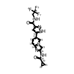 O=C(NCC(F)(F)F)c1cc(-c2ccc3nc(NC(=O)C4CC4)cn3c2)[nH]n1